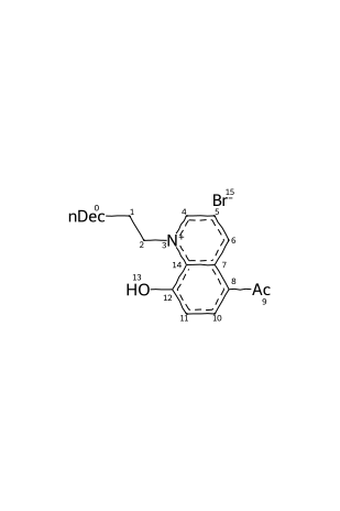 CCCCCCCCCCCC[n+]1cccc2c(C(C)=O)ccc(O)c21.[Br-]